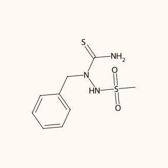 CS(=O)(=O)NN(Cc1ccccc1)C(N)=S